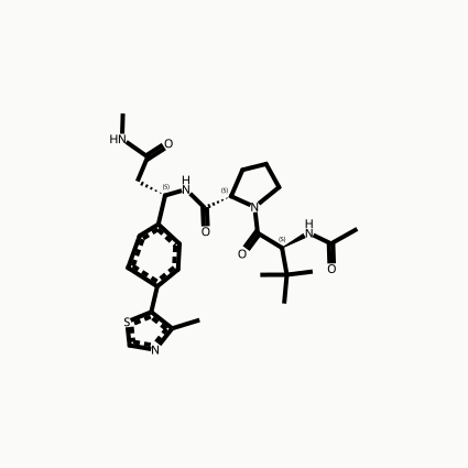 CNC(=O)C[C@H](NC(=O)[C@@H]1CCCN1C(=O)[C@@H](NC(C)=O)C(C)(C)C)c1ccc(-c2scnc2C)cc1